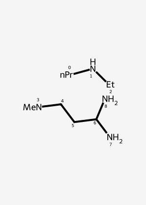 CCCNCC.CNCCC(N)N